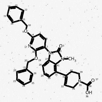 Cn1c(=O)n(-c2ccc(OCc3ccccc3)nc2OCc2ccccc2)c2cccc(C3=CCN(C(=O)O)CC3)c21